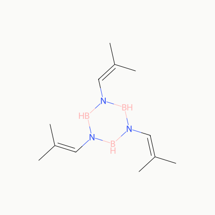 CC(C)=CN1BN(C=C(C)C)BN(C=C(C)C)B1